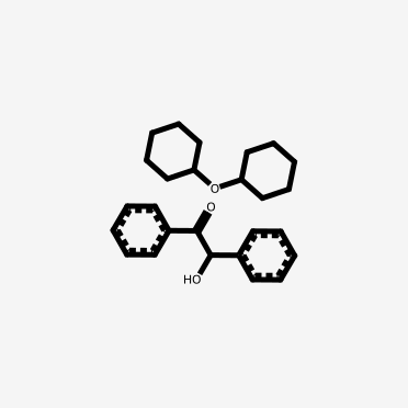 C1CCC(OC2CCCCC2)CC1.O=C(c1ccccc1)C(O)c1ccccc1